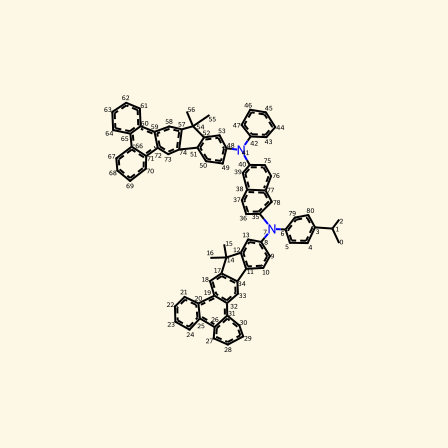 CC(C)c1ccc(N(c2ccc3c(c2)C(C)(C)c2cc4c5ccccc5c5ccccc5c4cc2-3)c2ccc3cc(N(c4ccccc4)c4ccc5c(c4)C(C)(C)c4cc6c7ccccc7c7ccccc7c6cc4-5)ccc3c2)cc1